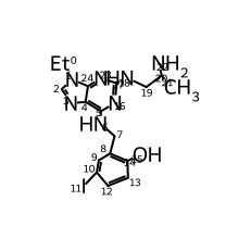 CCn1cnc2c(NCc3cc(I)ccc3O)nc(NCC(C)N)nc21